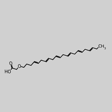 CCC=CCC=CCC=CCC=CCC=CCC=CCCCOCC(=O)O